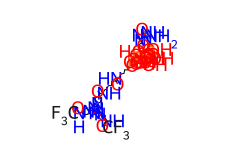 Nc1nc2c(ncn2[C@H]2CC(O)[C@@H](COP(=O)(O)OP(=O)(O)OP(=O)(O)OP(=O)(O)OP(=O)(O)OP(=O)(O)OCCCCCCNC(=O)CCCCCNC(=O)C3CCN(c4nc(N5CCC(NC(=O)C(F)(F)F)CC5)nc(N5CCC(NC(=O)C(F)(F)F)CC5)n4)CC3)O2)c(=O)[nH]1